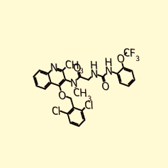 Cc1nc2ccccc2c(OCc2c(Cl)cccc2Cl)c1N(C)C(=O)CNC(=O)Nc1ccccc1OC(F)(F)F